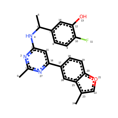 Cc1nc(NC(C)c2ccc(F)c(O)c2)cc(-c2ccc3occ(C)c3c2)n1